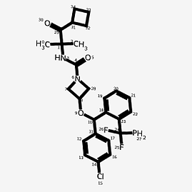 CC(C)(NC(=O)N1CC(OC(c2ccc(Cl)cc2)c2ccccc2C(F)(F)P)C1)C(=O)C1CCC1